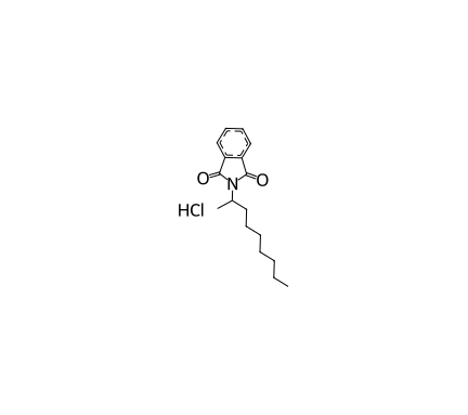 CCCCCCCC(C)N1C(=O)c2ccccc2C1=O.Cl